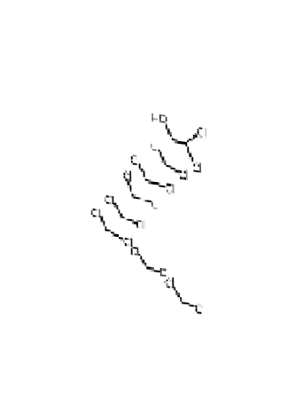 ClCCl.ClCCl.ClCCl.ClCCl.ClCCl.ClCCl.ClCCl.OCC(Cl)Cl